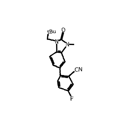 Cn1c(=O)n(CC(C)(C)C)c2ccc(-c3ccc(F)cc3C#N)cc21